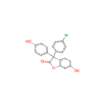 O=C1Oc2cc(O)ccc2C1(c1ccc(O)cc1)c1ccc(Br)cc1